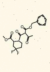 COC(=O)C1CC(F)(F)CCC1C(=O)C(C(C)=O)C(=O)OCc1ccccc1